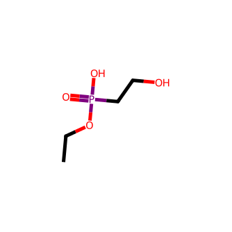 CCOP(=O)(O)CCO